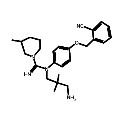 CC1CCCN(C(=N)N(CC(C)(C)CN)c2ccc(OCc3ccccc3C#N)cc2)C1